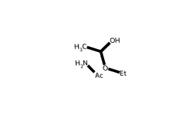 CC(N)=O.CCOC(C)O